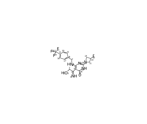 N=C(CO)c1c(NCc2ccc(C(F)(F)F)cc2)nc(N2CC(F)C2)[nH]c1=O